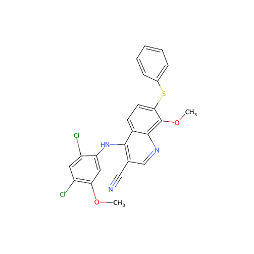 COc1cc(Nc2c(C#N)cnc3c(OC)c(Sc4ccccc4)ccc23)c(Cl)cc1Cl